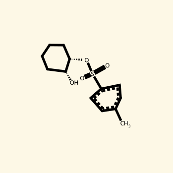 Cc1ccc(S(=O)(=O)O[C@H]2CCCC[C@H]2O)cc1